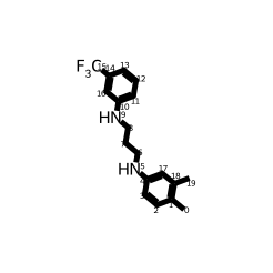 Cc1ccc(NCCCNc2cccc(C(F)(F)F)c2)cc1C